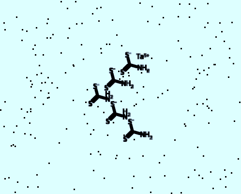 NC(=S)[S-].NC(=S)[S-].NC(=S)[S-].NC(=S)[S-].NC(=S)[S-].[Ta+5]